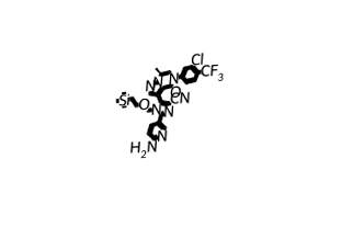 C[C@H]1CN(c2ccc(C(F)(F)F)c(Cl)c2)C(=O)c2c(-c3c(C#N)nc(-c4ccc(N)nc4)n3COCC[Si](C)(C)C)cnn21